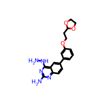 NNc1nc(N)nc2ccc(-c3cccc(OCCC4OCCO4)c3)cc12